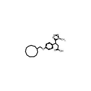 Cn1nnnc1C(CC(=O)O)c1ccc(OCC2CCCCCCCCCC2)cc1